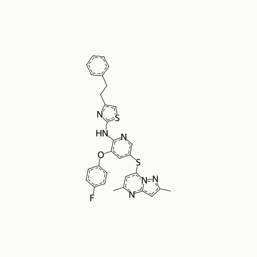 Cc1cc(Sc2cnc(Nc3nc(CCc4ccccc4)cs3)c(Oc3ccc(F)cc3)c2)n2nc(C)cc2n1